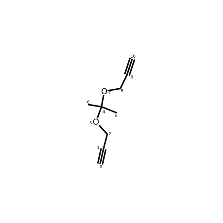 C#CCOC(C)(C)OCC#C